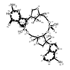 Nc1nc2c(nnn2[C@@]23CO[C@H](COP(O)(=S)O[C@@H]4[C@@H](COP(O)(=S)O2)OC[C@@]4(F)n2cnc4c(N)ncnc42)[C@@H]3F)c(=O)[nH]1